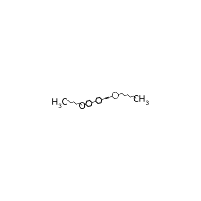 CCCCCCOc1ccc(-c2ccc(C#CC3CCC(CCCCCC)CC3)cc2)cc1